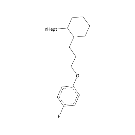 CCCCCCCC1CCCCC1CCCOc1ccc(F)cc1